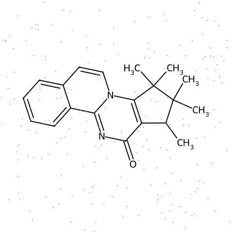 CC1c2c(n3ccc4ccccc4c3nc2=O)C(C)(C)C1(C)C